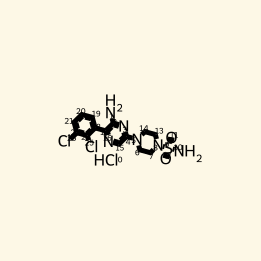 Cl.Nc1nc(N2CCN(S(N)(=O)=O)CC2)cnc1-c1cccc(Cl)c1Cl